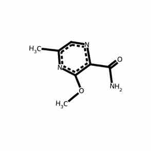 COc1nc(C)cnc1C(N)=O